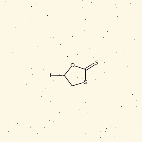 S=C1OC(I)CS1